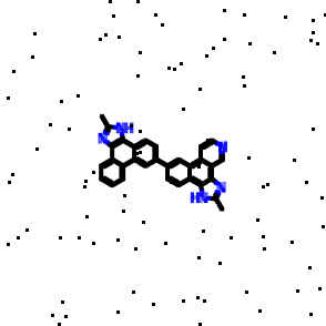 Cc1nc2c3ccccc3c3cc(-c4ccc5c(c4)c4ccncc4c4nc(C)[nH]c54)ccc3c2[nH]1